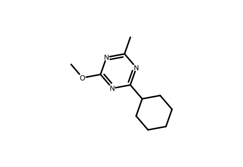 COc1nc(C)nc(C2CCCCC2)n1